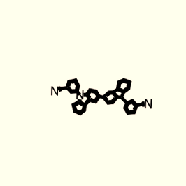 N#Cc1cccc(C2c3ccccc3-c3cc(-c4ccc5c(c4)c4ccccc4n5-c4cccc(C#N)c4)ccc32)c1